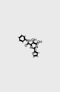 O=C(Nc1ccccc1)c1nc(-c2cccs2)nc(O)c1O